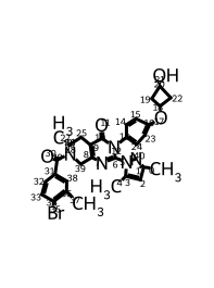 Cc1cc(C)n(-c2nc3c(c(=O)n2-c2ccc(O[C@H]4C[C@@H](O)C4)cc2)C[C@@H](C)N(C(=O)c2ccc(Br)c(C)c2)C3)n1